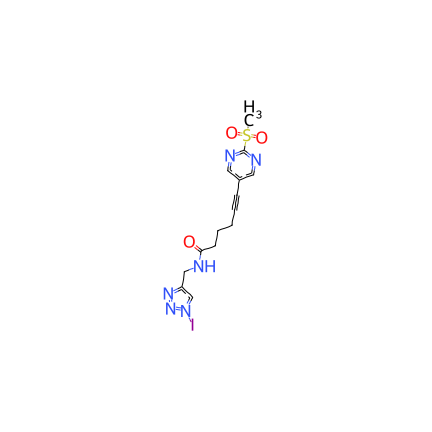 CS(=O)(=O)c1ncc(C#CCCCC(=O)NCc2cn(I)nn2)cn1